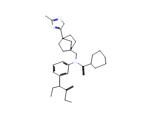 C=C(CC)C(CC)c1cccc(N(CC23CCC(C4=NC(C)=NC4)(CC2)C3)C(=C)C2CCCCC2)c1